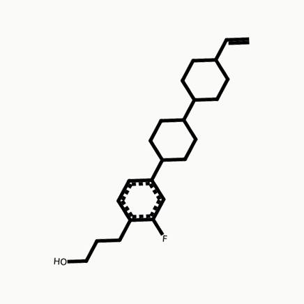 C=CC1CCC(C2CCC(c3ccc(CCCO)c(F)c3)CC2)CC1